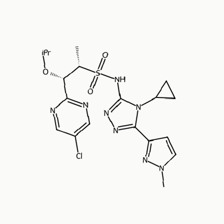 CC(C)O[C@@H](c1ncc(Cl)cn1)[C@H](C)S(=O)(=O)Nc1nnc(-c2ccn(C)n2)n1C1CC1